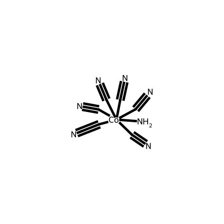 N#[C][Co]([NH2])([C]#N)([C]#N)([C]#N)([C]#N)[C]#N